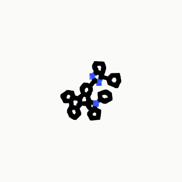 c1ccc(-c2nc(-c3ccc4c(c3)c3c(c5ccccc5n3-c3ccccc3)c3c5ccccc5c5ccccc5c43)nc3ccccc23)cc1